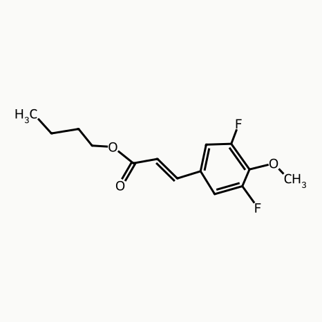 CCCCOC(=O)C=Cc1cc(F)c(OC)c(F)c1